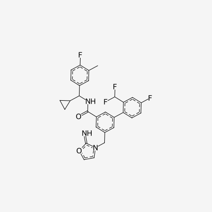 Cc1cc(C(NC(=O)c2cc(Cn3ccoc3=N)cc(-c3ccc(F)cc3C(F)F)c2)C2CC2)ccc1F